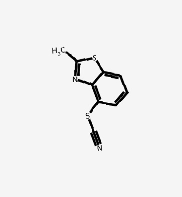 Cc1nc2c(SC#N)cccc2s1